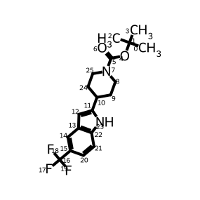 CC(C)(C)OC(=O)N1CCC(c2cc3cc(C(F)(F)F)ccc3[nH]2)CC1